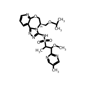 COC(c1ncc(C)cn1)C(C)S(=O)(=O)Nc1nnc2n1[C@H](COC(C)C)COc1ncccc1-2